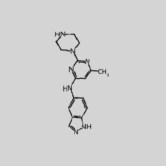 Cc1cc(Nc2ccc3[nH]ncc3c2)nc(N2CCNCC2)n1